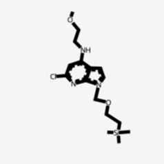 COCCNc1cc(Cl)nc2c1ccn2COCC[Si](C)(C)C